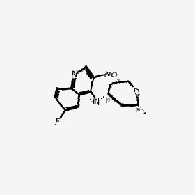 C[C@@H]1C[C@H](Nc2c([N+](=O)[O-])cnc3ccc(F)cc23)CCO1